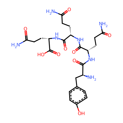 NC(=O)CC[C@H](NC(=O)[C@H](CCC(N)=O)NC(=O)[C@H](CCC(N)=O)NC(=O)[C@@H](N)Cc1ccc(O)cc1)C(=O)O